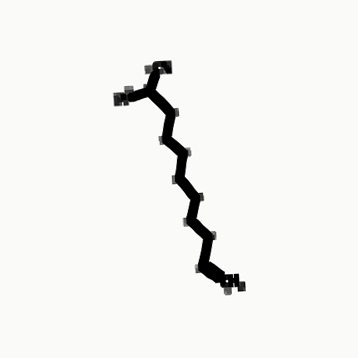 C=CCCCCCCCC(C#N)C(C)C